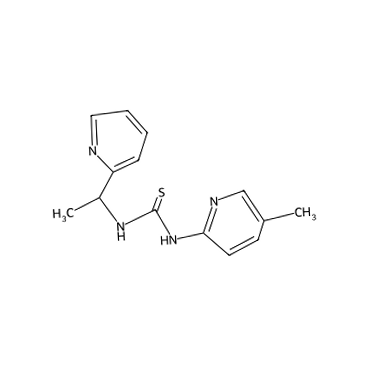 Cc1ccc(NC(=S)NC(C)c2ccccn2)nc1